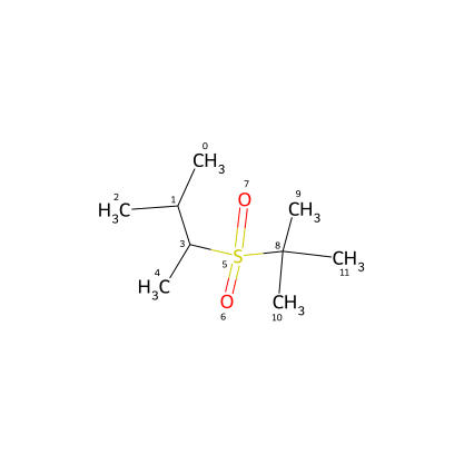 CC(C)C(C)S(=O)(=O)C(C)(C)C